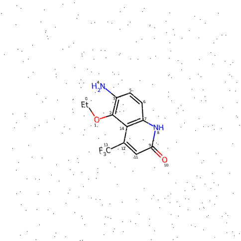 CCOc1c(N)ccc2[nH]c(=O)cc(C(F)(F)F)c12